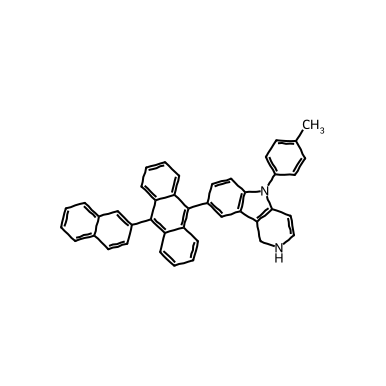 Cc1ccc(-n2c3c(c4cc(-c5c6ccccc6c(-c6ccc7ccccc7c6)c6ccccc56)ccc42)CNC=C3)cc1